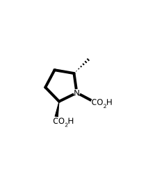 C[C@H]1CC[C@H](C(=O)O)N1C(=O)O